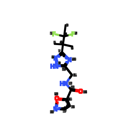 CC(F)(F)C(C)(C)c1n[nH]c(CNC(=O)c2ccno2)n1